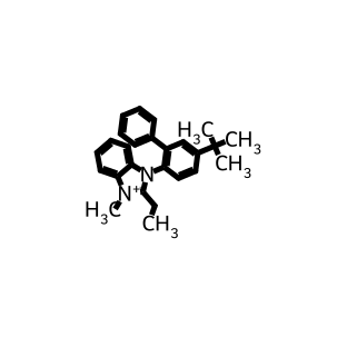 CCc1n(-c2ccc(C(C)(C)C)cc2-c2ccccc2)c2ccccc2[n+]1C